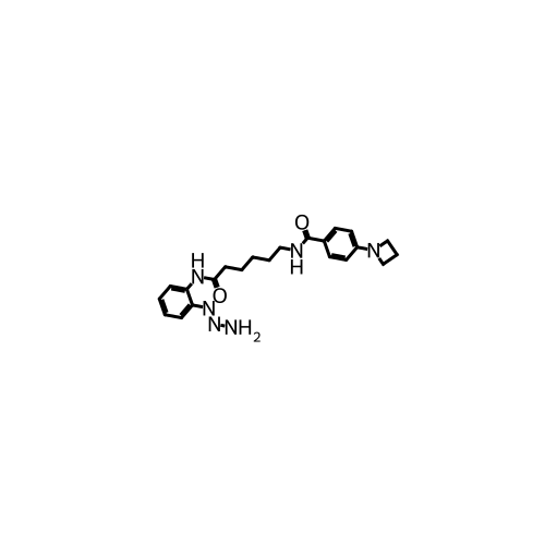 NN=Nc1ccccc1NC(=O)CCCCCNC(=O)c1ccc(N2CCC2)cc1